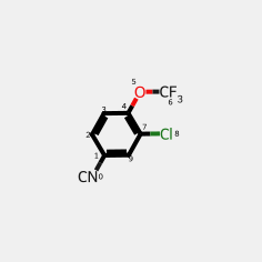 [C-]#[N+]c1ccc(OC(F)(F)F)c(Cl)c1